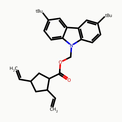 C=CC1CC(C=C)C(C(=O)OCn2c3ccc(C(C)(C)C)cc3c3cc(C(C)(C)C)ccc32)C1